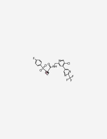 O=C(NCc1cc(-c2cnc(C(F)(F)F)nc2)c(Cl)cn1)C1C2CC(C2)N1S(=O)(=O)c1ccc(F)cc1